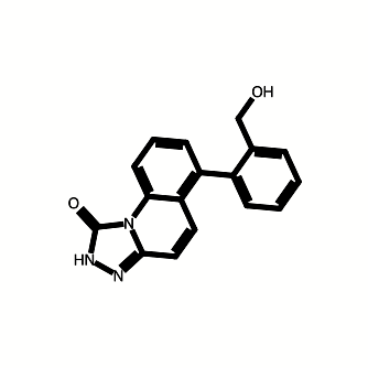 O=c1[nH]nc2ccc3c(-c4ccccc4CO)cccc3n12